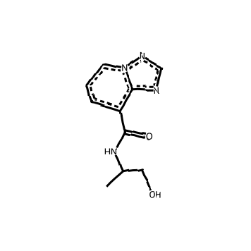 CC(CO)NC(=O)c1cccn2ncnc12